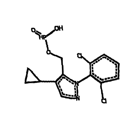 O=[PH](O)OCc1c(C2CC2)cnn1-c1c(Cl)cccc1Cl